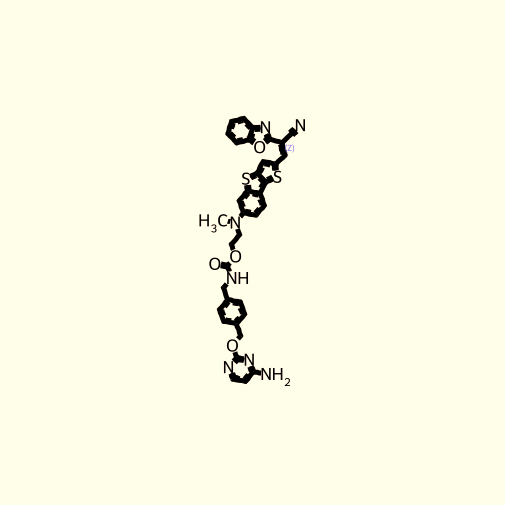 CN(CCOC(=O)NCc1ccc(COc2nccc(N)n2)cc1)c1ccc2c(c1)sc1cc(/C=C(/C#N)c3nc4ccccc4o3)sc12